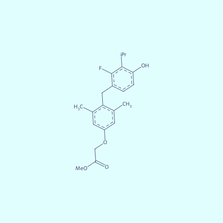 COC(=O)COc1cc(C)c(Cc2ccc(O)c(C(C)C)c2F)c(C)c1